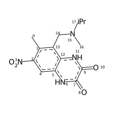 Cc1c([N+](=O)[O-])cc2[nH]c(=O)c(=O)[nH]c2c1CN(C)C(C)C